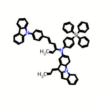 C=C/C=C1/C2=CC(N(/C(C=C)=C/C=C/c3ccc(-n4c5ccccc5c5ccccc54)cc3)c3ccc([Si](c4ccccc4)(c4ccccc4)c4ccccc4)cc3)=CCC2N2C1=CC1=CC=CCC12